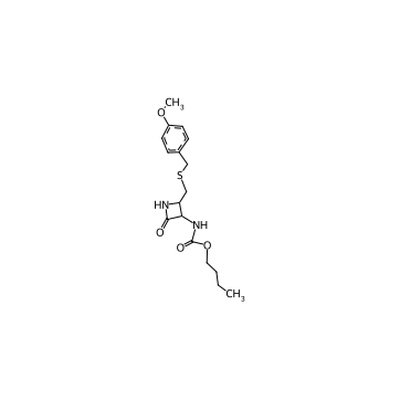 CCCCOC(=O)NC1C(=O)NC1CSCc1ccc(OC)cc1